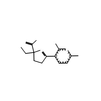 CCC1(C(=O)O)CCC(c2ccc(F)nc2F)=N1